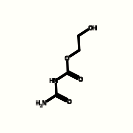 NC(=O)NC(=O)OCCO